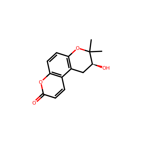 CC1(C)Oc2ccc3oc(=O)ccc3c2C[C@@H]1O